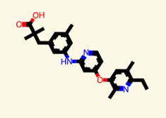 CCc1nc(C)c(Oc2ccnc(Nc3cc(C)cc(CC(C)(C)C(=O)O)c3)c2)cc1C